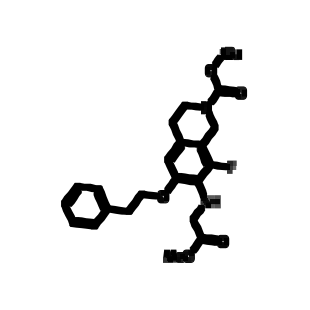 COC(=O)CNc1c(OCCc2ccccc2)cc2c(c1F)CN(C(=O)OC(C)(C)C)CC2